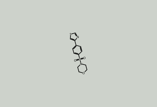 O=S(=O)(c1ccc(-c2cs[c]n2)cc1)N1CCOCC1